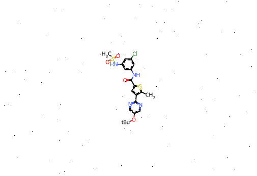 Cc1sc(C(=O)Nc2cc(Cl)cc(NS(C)(=O)=O)c2)cc1-c1ncc(OC(C)(C)C)cn1